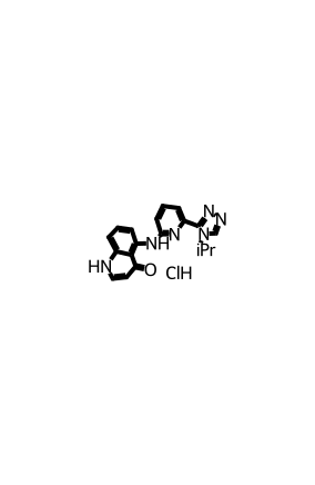 CC(C)n1cnnc1-c1cccc(Nc2cccc3[nH]ccc(=O)c23)n1.Cl